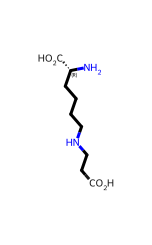 N[C@H](CCCCNCCC(=O)O)C(=O)O